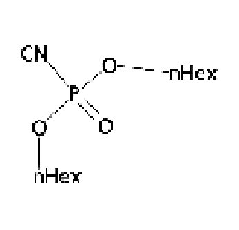 [C-]#[N+]P(=O)(OCCCCCC)OCCCCCC